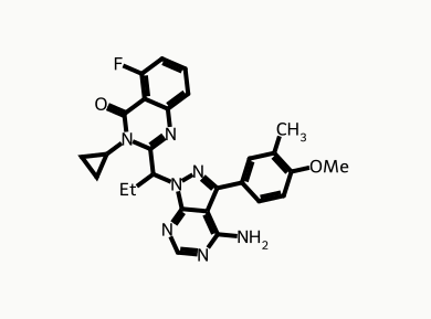 CCC(c1nc2cccc(F)c2c(=O)n1C1CC1)n1nc(-c2ccc(OC)c(C)c2)c2c(N)ncnc21